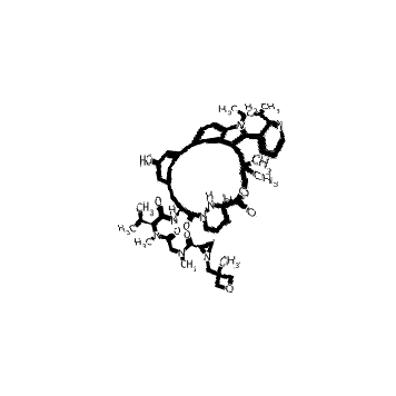 CCn1c(-c2cccnc2C(C)C)c2c3cc(ccc31)-c1cc(O)cc(c1)C[C@H](NC(=O)[C@H](C(C)C)N(C)C(=O)CN(C)C(=O)[C@H]1CN1CC1(C)COC1)C(=O)N1CCC[C@H](N1)C(=O)OCC(C)(C)C2